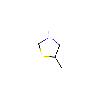 CC1CN[CH]S1